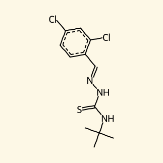 CC(C)(C)NC(=S)N/N=C/c1ccc(Cl)cc1Cl